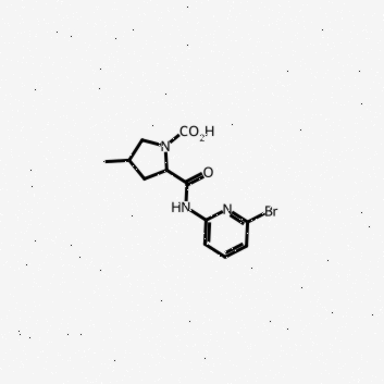 CC1CC(C(=O)Nc2cccc(Br)n2)N(C(=O)O)C1